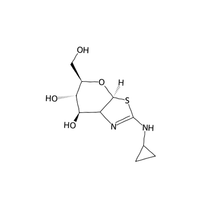 OC[C@H]1O[C@H]2SC(NC3CC3)=NC2[C@@H](O)[C@@H]1O